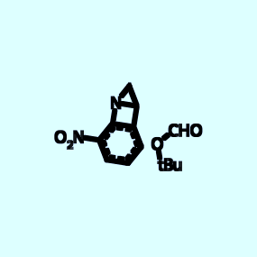 CC(C)(C)OC=O.O=[N+]([O-])c1cccc2c1N1CC21